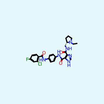 CCN1CCC[C@H]1CNC(=O)c1nc[nH]c1C(=O)Nc1ccc(NC(=O)c2ccc(F)cc2Cl)cc1